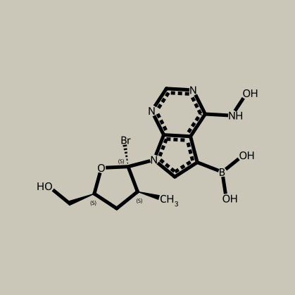 C[C@H]1C[C@@H](CO)O[C@@]1(Br)n1cc(B(O)O)c2c(NO)ncnc21